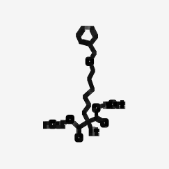 CCCCCCCCOC(=O)C(CC)(CCCCCCOCc1ccccc1)C(=O)OCCCCCCCC